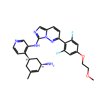 COCCOc1cc(F)c(-c2ccc3cnc(Nc4cnccc4[C@@H]4CC(C)=C[C@H](N)C4)n3n2)c(F)c1